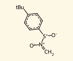 C=[N+]([O-])[S+]([O-])c1ccc(C(C)(C)C)cc1